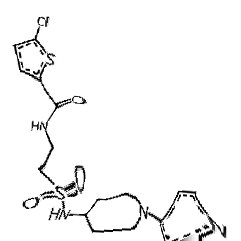 O=C(NCCS(=O)(=O)NC1CCN(c2ccncc2)CC1)c1ccc(Cl)s1